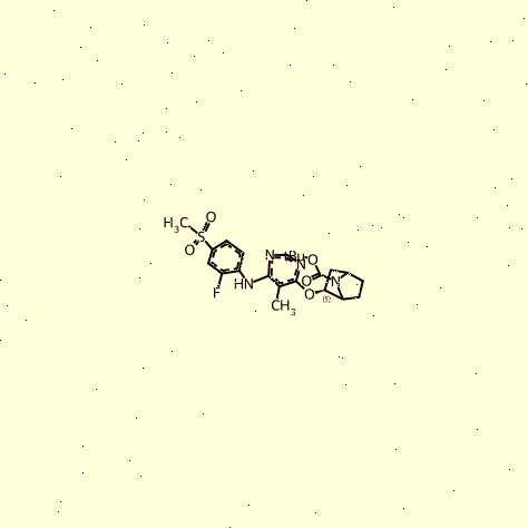 Cc1c(Nc2ccc(S(C)(=O)=O)cc2F)ncnc1O[C@H]1CC2CCC1N2C(=O)OC(C)(C)C